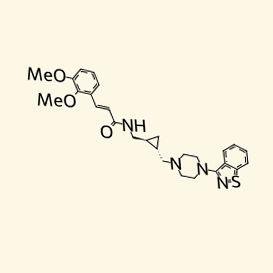 COc1cccc(/C=C/C(=O)NC[C@H]2C[C@@H]2CN2CCN(c3nsc4ccccc34)CC2)c1OC